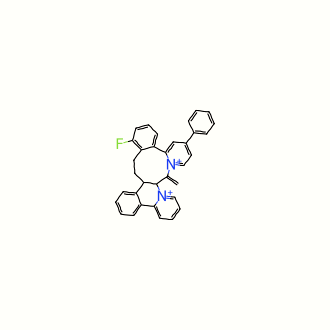 C=C1C2C(CCc3c(F)cccc3-c3cc(-c4ccccc4)cc[n+]31)c1ccccc1-c1cccc[n+]12